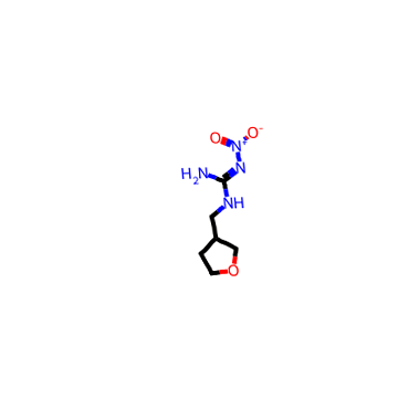 N/C(=N\[N+](=O)[O-])NCC1CCOC1